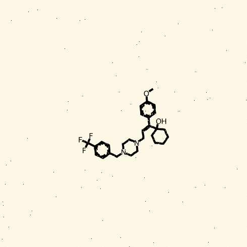 COc1ccc(C(=CCN2CCN(Cc3ccc(C(F)(F)F)cc3)CC2)C2(O)CCCCC2)cc1